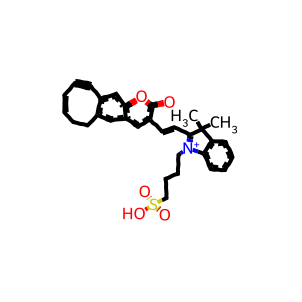 CC1(C)C(/C=C/c2cc3cc4c(cc3oc2=O)C#C/C=C\CC4)=[N+](CCCCS(=O)(=O)O)c2ccccc21